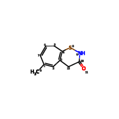 CC1=CC2=C(CC=C1)SNC(=O)C2